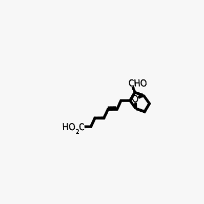 O=CC1C2CCC(O2)C1CC=CCCCC(=O)O